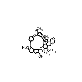 COc1ccc2cc1Oc1ccc(cc1)C[C@H]1c3cc(c(CO)cc3CCN1C)Oc1c(OC)c(OC)c(CN3CCOCC3)c3c1[C@H](C2)N(C)CC3